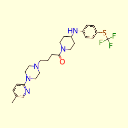 Cc1ccc(N2CCN(CCCC(=O)N3CCC(Nc4ccc(SC(F)(F)F)cc4)CC3)CC2)nc1